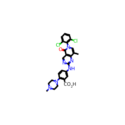 Cc1cn(-c2c(Cl)cccc2Cl)c(=O)c2cnc(Nc3ccc(N4CCN(C)CC4)c(C(=O)O)c3)nc12